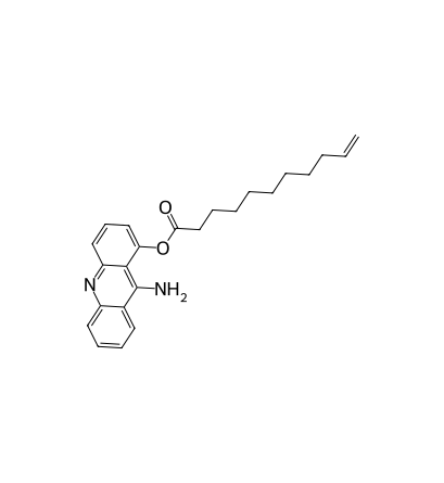 C=CCCCCCCCCC(=O)Oc1cccc2nc3ccccc3c(N)c12